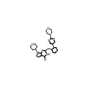 O=c1[nH]c(Cc2ccccc2-c2cnc(N3CCOCC3)nc2)nc2c1cnn2C1CCOCC1